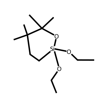 CCO[Si]1(OCC)CCC(C)(C)C(C)(C)O1